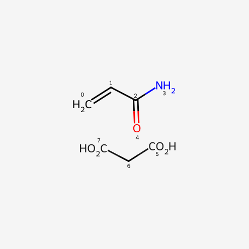 C=CC(N)=O.O=C(O)CC(=O)O